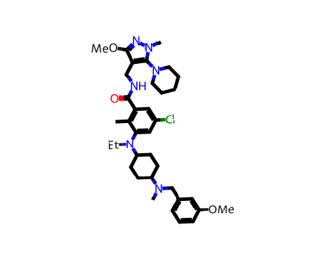 CCN(c1cc(Cl)cc(C(=O)NCc2c(OC)nn(C)c2N2CCCCC2)c1C)C1CCC(N(C)Cc2cccc(OC)c2)CC1